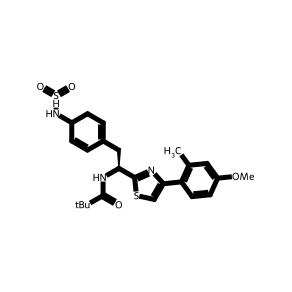 COc1ccc(-c2csc([C@H](CC3=CCC(N[SH](=O)=O)C=C3)NC(=O)C(C)(C)C)n2)c(C)c1